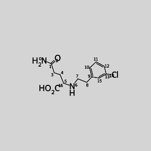 NC(=O)CC[C@H](NCCc1cccc(Cl)c1)C(=O)O